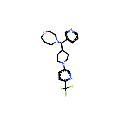 FC(F)(F)c1ccc(N2CCC(C(c3cccnc3)N3CCCOCC3)CC2)cn1